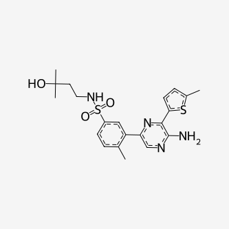 Cc1ccc(-c2nc(-c3cc(S(=O)(=O)NCCC(C)(C)O)ccc3C)cnc2N)s1